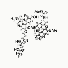 CCc1c(CO)cccc1Nc1c(C(N)=O)cnc2cc(OCCCC#N)c(OC)cc12.CCc1ccccc1Nc1c(C(N)=O)cnc2cc(OC)c(OCCCNCC(=O)OC)cc12.O=C(O)C(F)(F)F.O=C(O)C(F)(F)F